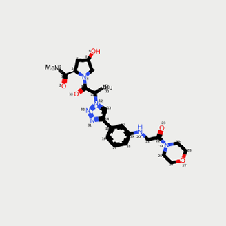 CNC(=O)[C@H]1CC(O)CN1C(=O)C(n1cc(-c2cccc(NCC(=O)N3CCOCC3)c2)nn1)C(C)(C)C